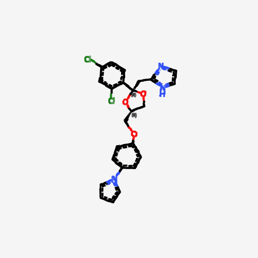 Clc1ccc([C@]2(Cc3ncc[nH]3)OC[C@@H](COc3ccc(-n4cccc4)cc3)O2)c(Cl)c1